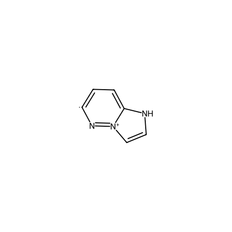 [c]1ccc2[nH]cc[n+]2n1